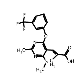 CSc1nc(C)nc(Oc2cccc(C(F)(F)F)c2)c1C=C(C)C(=O)O